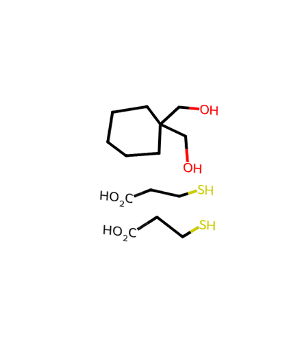 O=C(O)CCS.O=C(O)CCS.OCC1(CO)CCCCC1